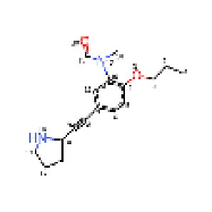 CCCOc1ccc(C#CC2CCCN2)cc1N(C)C=O